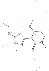 CCSc1nnc(N2C(=O)N(C)CCC2OC)s1